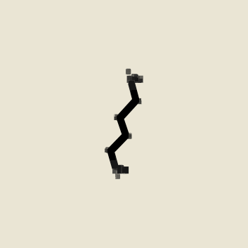 [CH]CCCCCCCCCCC